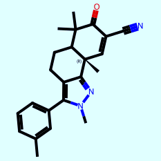 Cc1cccc(-c2c3c(nn2C)[C@@]2(C)C=C(C#N)C(=O)C(C)(C)C2CC3)c1